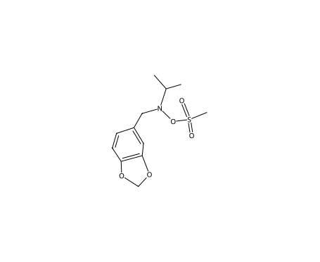 CC(C)N(Cc1ccc2c(c1)OCO2)OS(C)(=O)=O